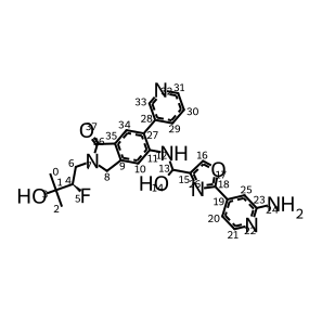 CC(C)(O)[C@H](F)CN1Cc2cc(NC(O)c3coc(-c4ccnc(N)c4)n3)c(-c3cccnc3)cc2C1=O